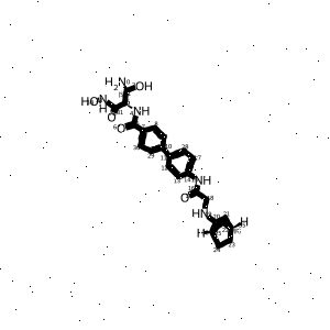 N[C@@H](O)[C@H](NC(=O)c1ccc(-c2ccc(NC(=O)CNC3C[C@@H]4CC[C@H]3C4)cc2)cc1)C(=O)NO